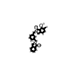 COc1c(C)ccc2c1C(=O)N(Cc1cccc(CN3Cc4ccccc4C3=O)c1)C2